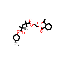 C=C(O)C1CCCCC1C(=O)OCCOC(=O)C(C)(C)CC(C)(CC)C(=O)OC1CCC(C(F)(F)F)CC1